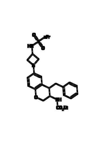 CCCS(=O)(=O)NC1CN(c2ccc3c(c2)C(Cc2ccccc2)C(NC(=O)OCC)CO3)C1